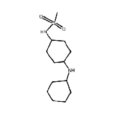 CS(=O)(=O)NC1CCC(NC2CCCCC2)CC1